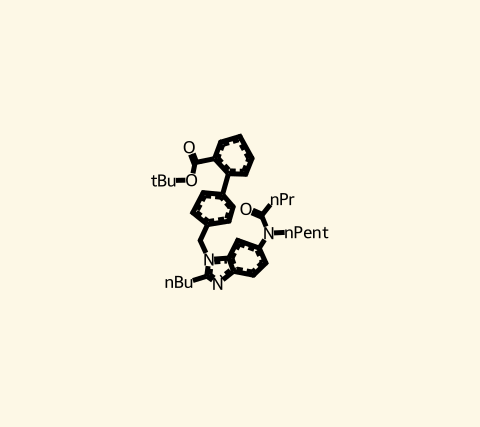 CCCCCN(C(=O)CCC)c1ccc2nc(CCCC)n(Cc3ccc(-c4ccccc4C(=O)OC(C)(C)C)cc3)c2c1